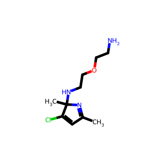 CC1=NC(C)(NCCOCCN)C(Cl)=C1